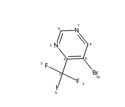 FC(F)(F)c1ncn[c]c1Br